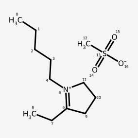 CCCCC[N+]1=C(CC)CCC1.CS(=O)(=O)[O-]